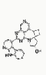 O[C@H]1CCN(c2nc(-c3ccnc4[nH]c5ccccc5c34)nc3cncc(C4CCC4)c23)C1